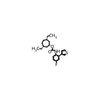 CC[C@@H]1CC[C@H](CC)C[C@@H](OC(=O)Nc2ccc(F)cc2-c2ccsc2)C1